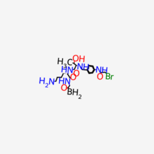 BC(=O)CNC(=O)[C@H](CCCCN)NC(=O)[C@@H](NCc1ccc(NC(=O)CBr)cc1)[C@@H](C)O